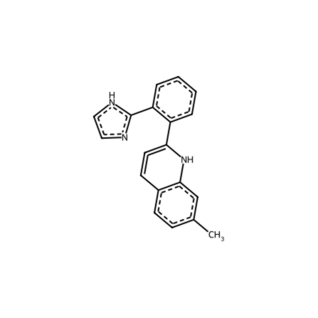 Cc1ccc2c(c1)NC(c1ccccc1-c1ncc[nH]1)=C=C2